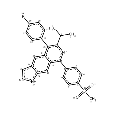 CC(C)c1nc(-c2ccc(S(C)(=O)=O)cc2)c2cc3[nH]ncc3cc2c1-c1ccc(F)cc1